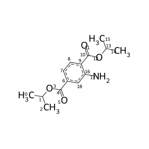 CC(C)OC(=O)c1ccc(C(=O)OC(C)C)c(N)c1